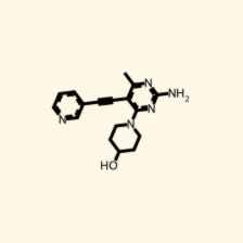 Cc1nc(N)nc(N2CCC(O)CC2)c1C#Cc1cccnc1